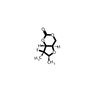 C[C@@H]1O[C@@H]2COC(=O)O[C@H]2[C@@]1(C)F